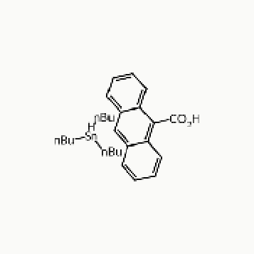 CCC[CH2][SnH]([CH2]CCC)[CH2]CCC.O=C(O)c1c2ccccc2cc2ccccc12